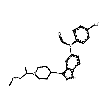 CCCC(C)N1CCC(c2c[nH]c3ccc(N(C=O)c4ccc(Cl)cc4)cc23)CC1